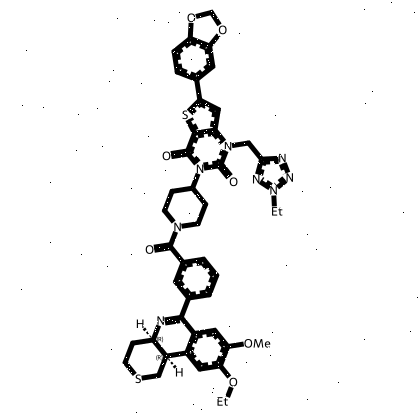 CCOc1cc2c(cc1OC)C(c1cccc(C(=O)N3CCC(n4c(=O)c5sc(-c6ccc7c(c6)OCO7)cc5n(Cc5nnn(CC)n5)c4=O)CC3)c1)=N[C@@H]1CCSC[C@H]21